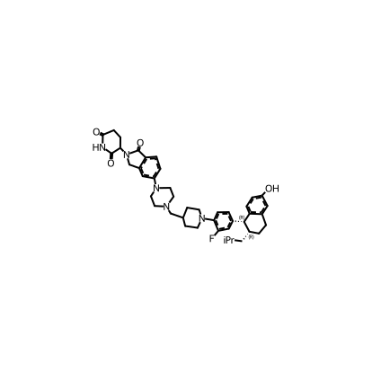 CC(C)C[C@H]1CCc2cc(O)ccc2[C@H]1c1ccc(N2CCC(CN3CCN(c4ccc5c(c4)CN(C4CCC(=O)NC4=O)C5=O)CC3)CC2)c(F)c1